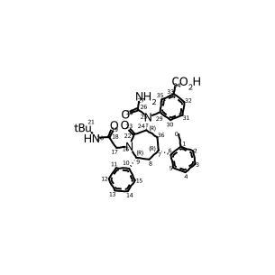 Cc1ccccc1[C@@H]1C[C@H](c2ccccc2)N(CC(=O)NC(C)(C)C)C(=O)[C@H](N(C(N)=O)c2cccc(C(=O)O)c2)C1